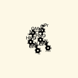 CC(C)Oc1ccc(C(=O)Nc2ccc(Cl)c(-c3ncc(-c4ccccc4)[nH]3)c2)c(Cl)n1.COc1ccc(C(=O)Nc2ccc(Cl)c(-c3ncc(-c4ccccc4)[nH]3)c2)c(C)n1